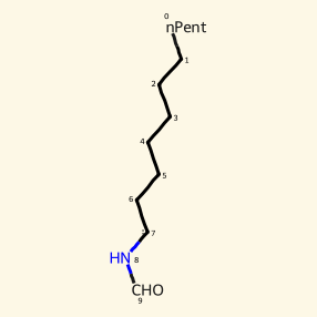 [CH2]CCCCCCCCCC[C]NC=O